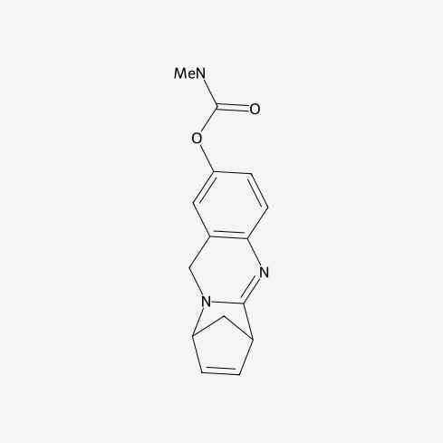 CNC(=O)Oc1ccc2c(c1)CN1C(=N2)C2C=CC1C2